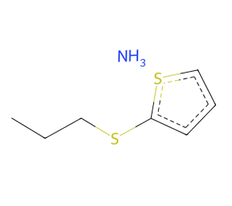 CCCSc1cccs1.N